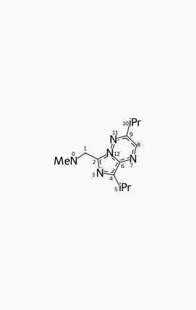 CNCc1nc(C(C)C)c2ncc(C(C)C)nn12